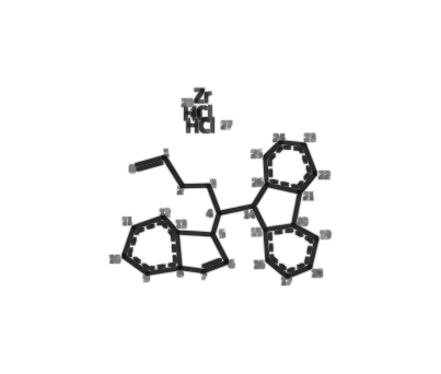 C=CCCC(C1C=Cc2ccccc21)C1c2ccccc2-c2ccccc21.Cl.Cl.[Zr]